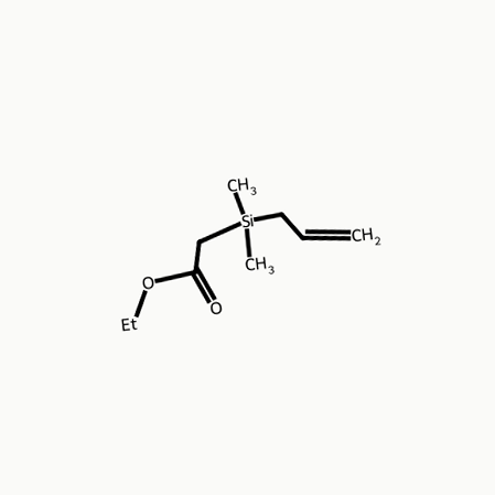 C=CC[Si](C)(C)CC(=O)OCC